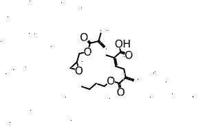 C=C(C)C(=O)OCC1CO1.C=C(CC=C(C)C(=O)O)C(=O)OCCCC